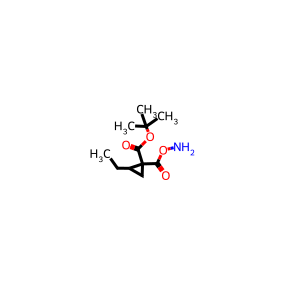 CCC1CC1(C(=O)ON)C(=O)OC(C)(C)C